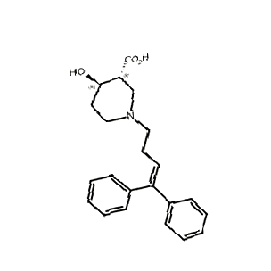 O=C(O)[C@@H]1CN(CCC=C(c2ccccc2)c2ccccc2)CC[C@H]1O